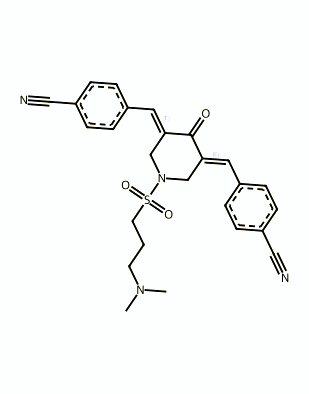 CN(C)CCCS(=O)(=O)N1C/C(=C\c2ccc(C#N)cc2)C(=O)/C(=C/c2ccc(C#N)cc2)C1